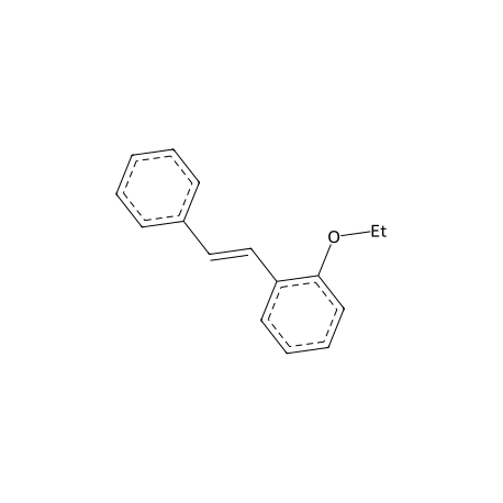 CCOc1ccccc1/C=C/c1ccccc1